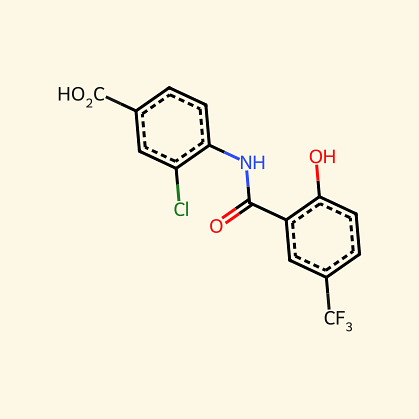 O=C(O)c1ccc(NC(=O)c2cc(C(F)(F)F)ccc2O)c(Cl)c1